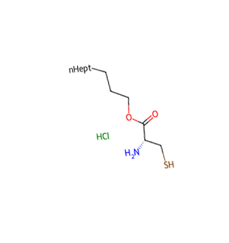 CCCCCCCCCCOC(=O)[C@@H](N)CS.Cl